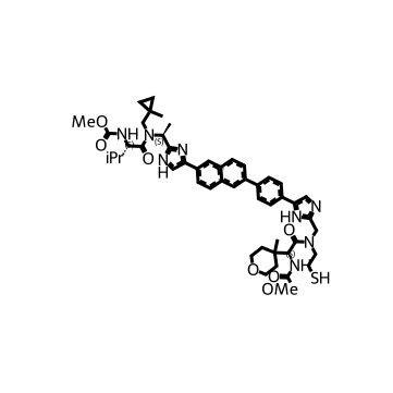 COC(=O)N[C@H](C(=O)N(CC1(C)CC1)[C@@H](C)c1nc(-c2ccc3cc(-c4ccc(-c5cnc(CN(CCS)C(=O)[C@@H](NC(=O)OC)C6(C)CCOCC6)[nH]5)cc4)ccc3c2)c[nH]1)C(C)C